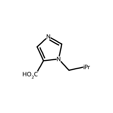 CC(C)Cn1cncc1C(=O)O